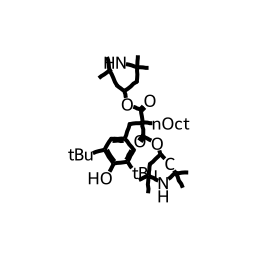 CCCCCCCCC(Cc1cc(C(C)(C)C)c(O)c(C(C)(C)C)c1)(C(=O)OC1CC(C)(C)NC(C)(C)C1)C(=O)OC1CC(C)(C)NC(C)(C)C1